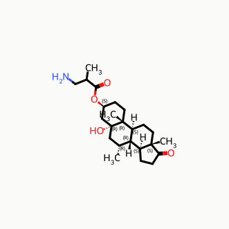 CC(CN)C(=O)O[C@H]1CC[C@]2(C)[C@H]3CC[C@]4(C)C(=O)CC[C@H]4[C@@H]3[C@H](C)C[C@@]2(O)C1